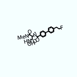 CNC(=O)C(C(=O)NO)N(C)C(=O)c1ccc(-c2ccc(CCF)cc2)cc1